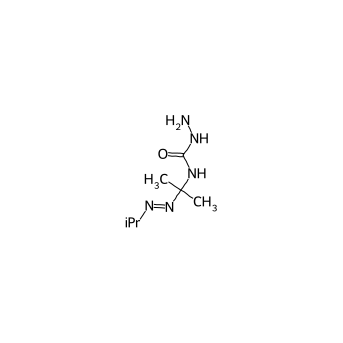 CC(C)N=NC(C)(C)NC(=O)NN